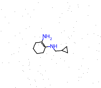 NC1=C(NCC2CC2)CCCC1